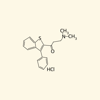 CN(C)CCC(=O)c1sc2ccccc2c1-c1ccccc1.Cl